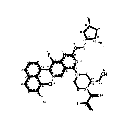 C=C(F)C(=O)N1CCN(c2nc(OC[C@@H]3CN(C)C[C@@H]3F)nc3c(F)c(-c4cccc5ccc(F)c(Cl)c45)ncc23)C[C@@H]1CC#N